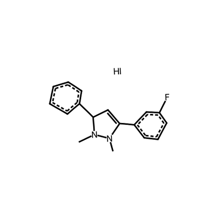 CN1C(c2cccc(F)c2)=CC(c2ccccc2)N1C.I